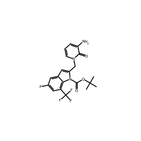 CC(C)(C)OC(=O)n1c(Cn2cccc(N)c2=O)cc2cc(F)cc(C(F)(F)F)c21